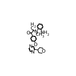 C=C(C(=O)c1ccc(Oc2nccnc2C2CCOCC2)cc1)N(C)c1ccccc1N